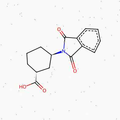 O=C(O)[C@@H]1CCC[C@@H](N2C(=O)c3ccccc3C2=O)C1